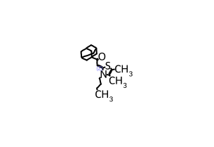 CCCCN1C(C)=C(C)S/C1=C\C(=O)C12CC3CC(CC(C3)C1)C2